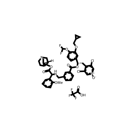 COc1ccccc1C(NCc1cccc(C(=O)O[C@@H](Cc2c(Cl)c[n+]([O-])cc2Cl)c2ccc(OC(F)F)c(OCC3CC3)c2)c1)C(=O)O[C@H]1CN2CCC1CC2.O=C(O)C(F)(F)F